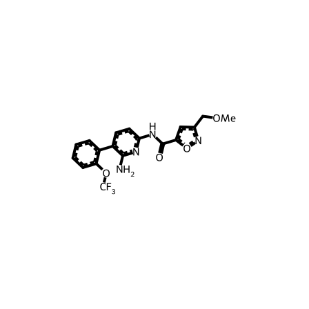 COCc1cc(C(=O)Nc2ccc(-c3ccccc3OC(F)(F)F)c(N)n2)on1